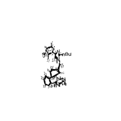 CCCCc1nc(-c2nc(C)c[n+]([O-])c2C)cn1Cc1ccc(-c2ccccc2-c2nnn[nH]2)cc1